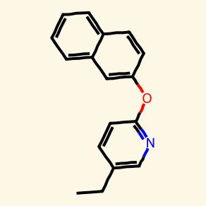 CCc1ccc(Oc2ccc3ccccc3c2)nc1